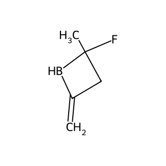 C=C1BC(C)(F)C1